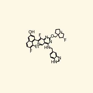 CCc1c(F)ccc2cc(O)cc(-c3ncc4c(NCc5ccc6[nH]cnc6c5)nc(OC[C@@]56CCCN5C[C@H](F)C6)nc4c3F)c12